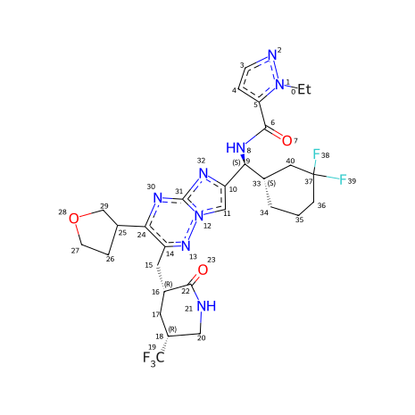 CCn1nccc1C(=O)N[C@H](c1cn2nc(C[C@H]3C[C@@H](C(F)(F)F)CNC3=O)c(C3CCOC3)nc2n1)[C@H]1CCCC(F)(F)C1